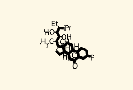 CC[C@@H](C(C)C)[C@H](O)[C@@H](O)[C@@H](C)[C@H]1CC[C@H]2[C@@H]3CC(=O)C4CC(F)CC[C@]4(C)[C@H]3CC[C@]12C